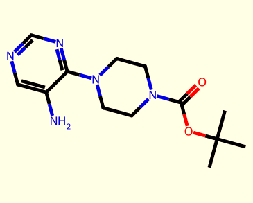 CC(C)(C)OC(=O)N1CCN(c2ncncc2N)CC1